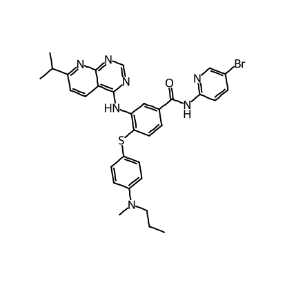 CCCN(C)c1ccc(Sc2ccc(C(=O)Nc3ccc(Br)cn3)cc2Nc2ncnc3nc(C(C)C)ccc23)cc1